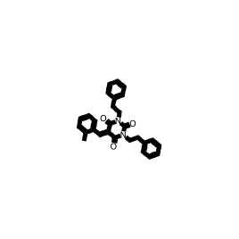 Cc1ccccc1C=C1C(=O)N(CCc2ccccc2)C(=O)N(CCc2ccccc2)C1=O